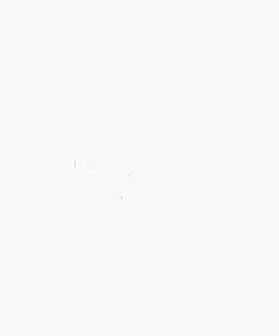 CCP(Cl)c1ccccc1